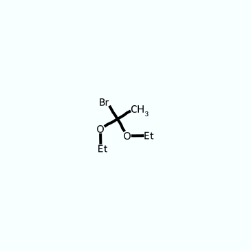 CCOC(C)(Br)OCC